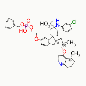 C[C@@H](COc1ccnc2c1[C@H](C)CCC2)C[C@H]1Cc2ccc(OCCOP(=O)(O)OCc3ccccc3)cc2C12CCC(Nc1cccc(Cl)c1)(C(=O)O)CC2